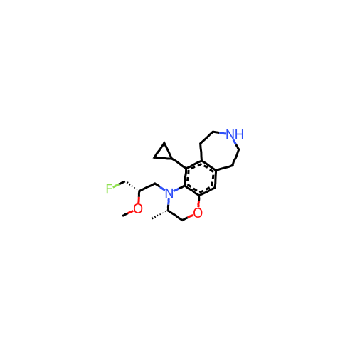 CO[C@H](CF)CN1c2c(cc3c(c2C2CC2)CCNCC3)OC[C@@H]1C